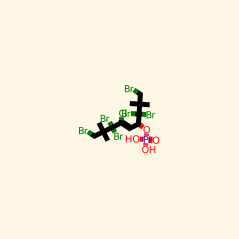 CC(C)(CBr)C(Br)(Br)C(Cl)=CC(OP(=O)(O)O)C(Br)(Br)C(C)(C)CBr